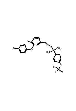 CC(C)(COCc1ccc(F)c(Oc2ccc(F)cc2)c1)c1ccc(OC(F)(F)Br)cc1